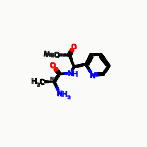 COC(=O)C(NC(=O)[C@H](C)N)c1ccccn1